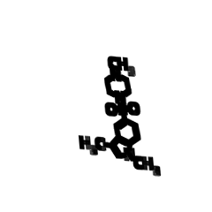 Cc1cn(C)c2ccc(S(=O)(=O)N3CCN(C)CC3)cc12